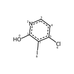 Oc1nccc(Cl)c1I